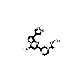 CC(C)(C)OC(=O)N1CCOC(c2cc(N)n3ncc(-c4cn[nH]c4)c3n2)C1